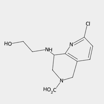 O=C(O)N1Cc2ccc(Cl)nc2C(NCCO)C1